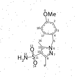 COc1ccc(Cn2nc(C)c(S(N)(=O)=O)c2C)cc1